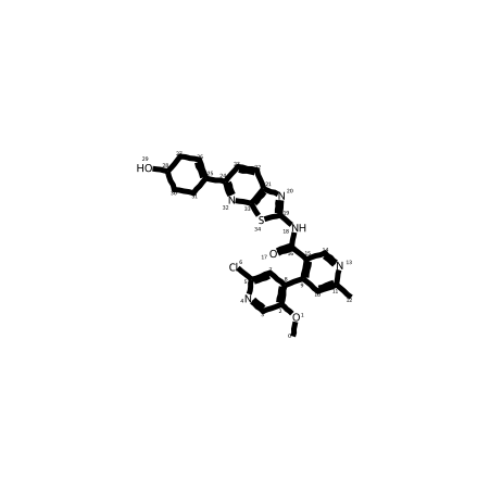 COc1cnc(Cl)cc1-c1cc(C)ncc1C(=O)Nc1nc2ccc(C3=CCC(O)CC3)nc2s1